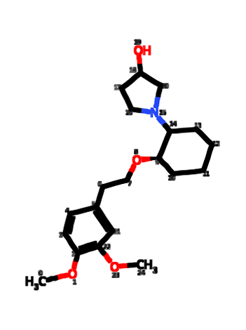 COc1ccc(CCO[C@@H]2CCCCC2N2CCC(O)C2)cc1OC